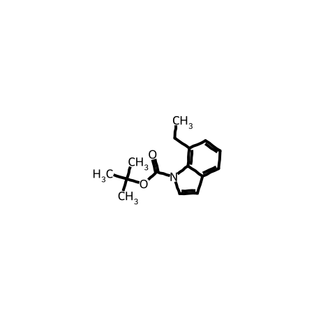 CCc1cccc2ccn(C(=O)OC(C)(C)C)c12